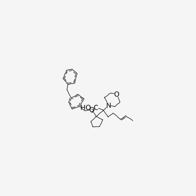 CC=CCCC(C(=O)O)(N1CCOCC1)C1(OCc2ccc(Cc3ccccc3)cc2)CCCC1